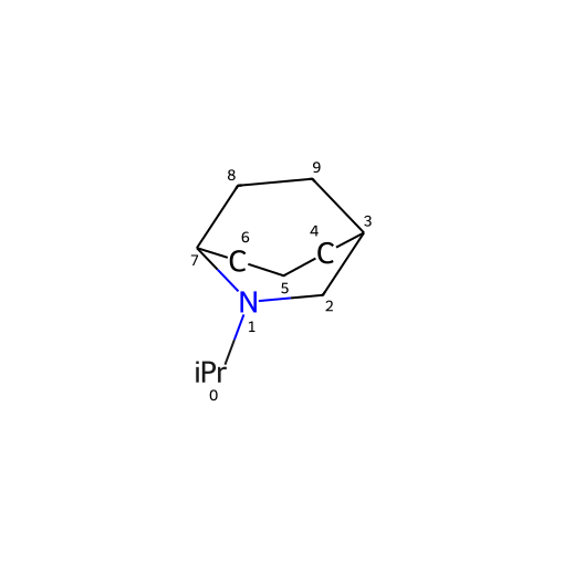 CC(C)N1CC2CCCC1CC2